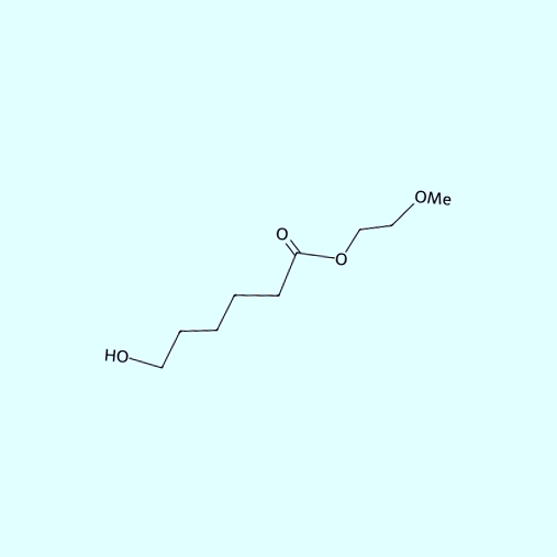 COCCOC(=O)CCCCCO